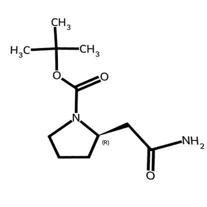 CC(C)(C)OC(=O)N1CCC[C@@H]1CC(N)=O